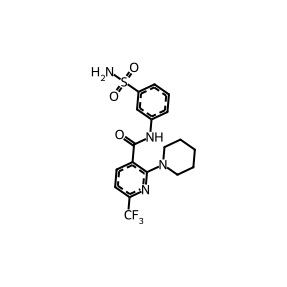 NS(=O)(=O)c1cccc(NC(=O)c2ccc(C(F)(F)F)nc2N2CCCCC2)c1